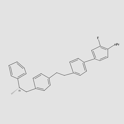 CCCc1ccc(-c2ccc(CCc3ccc(C[C@H](C)c4ccccc4)cc3)cc2)cc1F